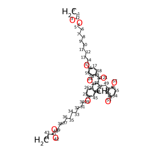 C=CC(=O)OCCCCCCCCCCOc1ccc(C(=O)C(C(=O)c2ccc(OCCCCCCCCCCOC(=O)C=C)cc2)C(C)CC2=CC(=O)C=CC2=O)cc1